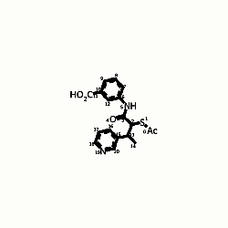 CC(=O)SC(C(=O)Nc1cccc(C(=O)O)c1)C(C)c1cccnc1